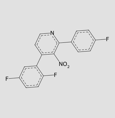 O=[N+]([O-])c1c(-c2cc(F)ccc2F)ccnc1-c1ccc(F)cc1